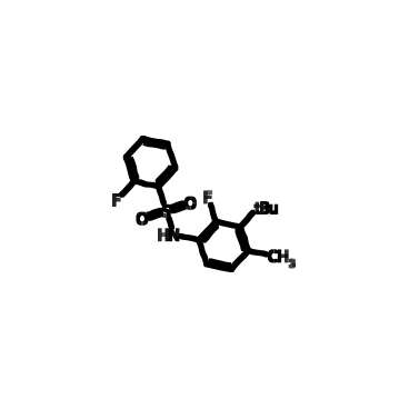 Cc1ccc(NS(=O)(=O)c2ccccc2F)c(F)c1C(C)(C)C